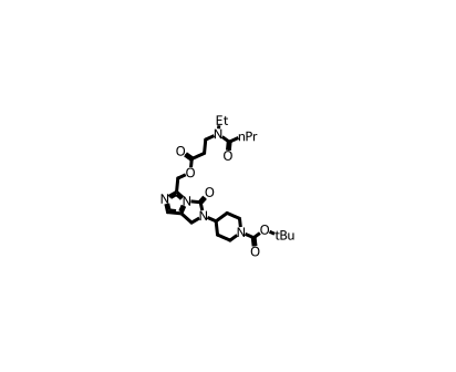 CCCC(=O)N(CC)CCC(=O)OCc1ncc2n1C(=O)N(C1CCN(C(=O)OC(C)(C)C)CC1)C2